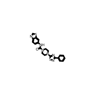 O=C(Nc1ccc2ncsc2c1)N1CCN(c2nc(-c3ccccc3)ns2)CC1